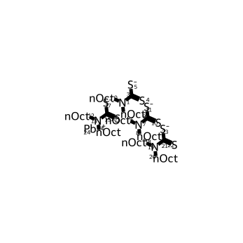 CCCCCCCCN(CCCCCCCC)C(=S)[S-].CCCCCCCCN(CCCCCCCC)C(=S)[S-].CCCCCCCCN(CCCCCCCC)C(=S)[S-].CCCCCCCCN(CCCCCCCC)C(=S)[S-].[Pb+4]